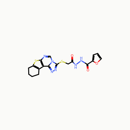 O=C(CSc1nnc2c3c4c(sc3ncn12)CCCC4)NNC(=O)c1ccco1